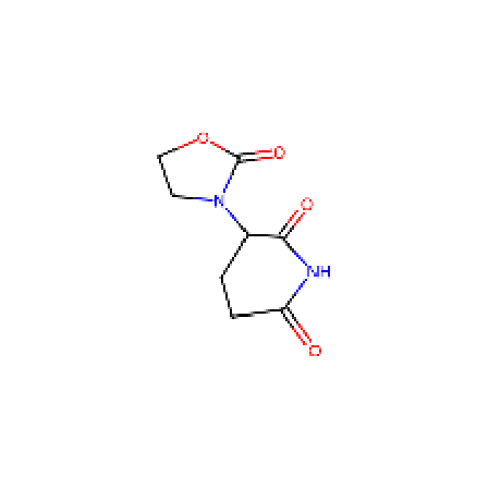 O=C1CCC(N2CCOC2=O)C(=O)N1